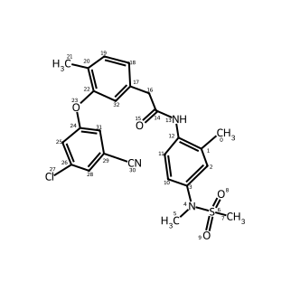 Cc1cc(N(C)S(C)(=O)=O)ccc1NC(=O)Cc1ccc(C)c(Oc2cc(Cl)cc(C#N)c2)c1